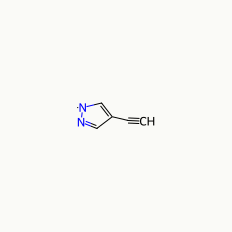 C#CC1=C[N]N=C1